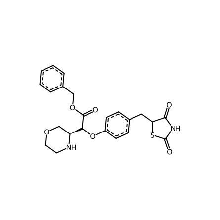 O=C1NC(=O)C(Cc2ccc(OC(C(=O)OCc3ccccc3)[C@@H]3COCCN3)cc2)S1